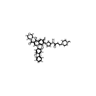 CN1CCN(CCC(=O)N[C@@H]2CCN(c3c(F)cc4c(=O)c(C(=O)N5CCOCC5)cn5c4c3Oc3cc4c(cc3-5)oc3ccccc34)C2)CC1